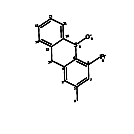 Cc1cc2c(c(C(C)C)c1)[S+]([O-])c1ccccc1C2